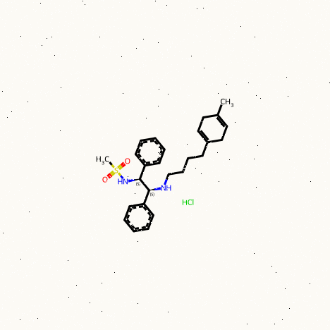 CC1=CCC(CCCCN[C@@H](c2ccccc2)[C@@H](NS(C)(=O)=O)c2ccccc2)=CC1.Cl